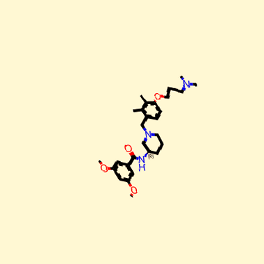 COc1cc(OC)cc(C(=O)N[C@@H]2CCCN(Cc3ccc(OCCCN(C)C)c(C)c3C)C2)c1